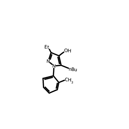 CCCCc1c(O)c(CC)nn1-c1ccccc1C